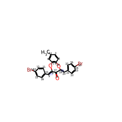 Cc1ccc2c(c1)O/C(=C\c1ccc(Br)cc1)C(=O)/C(=C/c1ccc(Br)cc1)O2